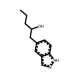 CCCC(O)Cc1ccc2[nH]ncc2c1